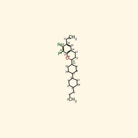 CCCC1CCC(C2CCC(C3CCc4cc(CC)c(F)c(F)c4O3)CC2)CC1